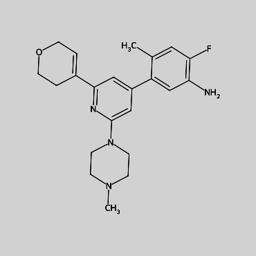 Cc1cc(F)c(N)cc1-c1cc(C2=CCOCC2)nc(N2CCN(C)CC2)c1